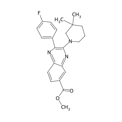 COC(=O)c1ccc2nc(-c3ccc(F)cc3)c(N3CCCC(C)(C)C3)nc2c1